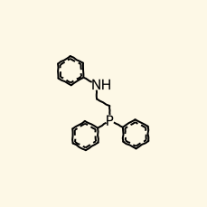 c1ccc(NCCP(c2ccccc2)c2ccccc2)cc1